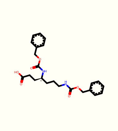 O=C(O)CC[C@H](CCCNC(=O)OCc1ccccc1)NC(=O)OCc1ccccc1